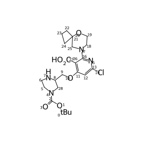 CC(C)(C)OC(=O)N1CCNC(COc2cc(Cl)nc(N3CCOC4(CCC4)C3)c2C(=O)O)C1